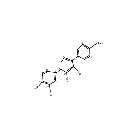 CCCCCc1ccc(C2=CCC(c3ccc(F)c(F)c3)C(F)=C2F)cc1